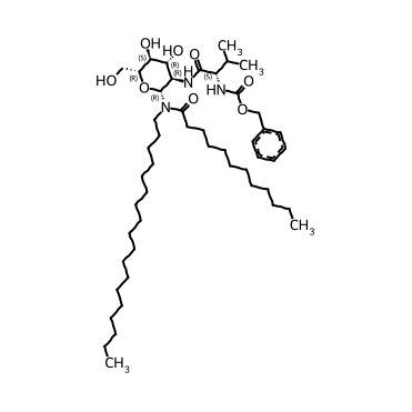 CCCCCCCCCCCCCCCCCCN(C(=O)CCCCCCCCCCC)[C@@H]1O[C@H](CO)[C@@H](O)[C@H](O)[C@H]1NC(=O)[C@@H](NC(=O)OCc1ccccc1)C(C)C